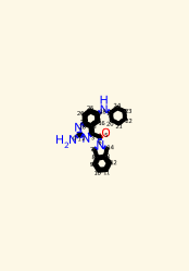 Nc1nc(C(=O)N2Cc3ccccc3C2)c2cc(NC3CCCCC3)ccc2n1